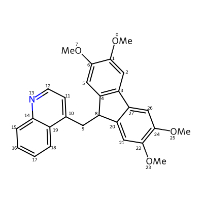 COc1cc2c(cc1OC)C(Cc1ccnc3ccccc13)c1cc(OC)c(OC)cc1-2